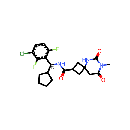 CN1C(=O)CC2(CC(C(=O)N[C@H](c3c(F)ccc(Cl)c3F)C3CCCC3)C2)NC1=O